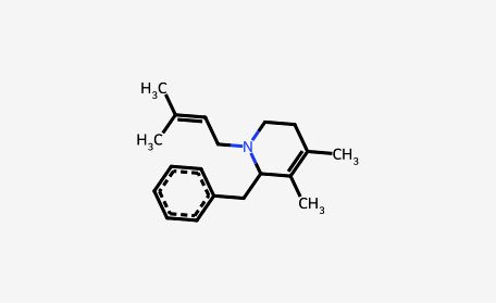 CC(C)=CCN1CCC(C)=C(C)C1Cc1ccccc1